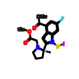 COC(=O)c1cc(F)cc2c1cc([C@@]1(C)CCCN1CC(=O)OC(C)(C)C)n2SI